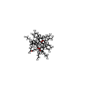 CCCCOc1ccc([SiH](O[SiH](c2ccc(OCCCC)c(OCCCC)c2OCCCC)c2ccc(OCCCC)c(OCCCC)c2OCCCC)c2ccc(OCCCC)c(OCCCC)c2OCCCC)c(OCCCC)c1OCCCC